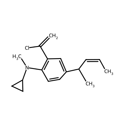 C=C(Cl)c1cc(C(C)/C=C\C)ccc1N(C)C1CC1